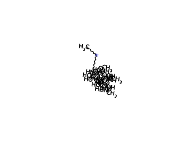 CCCCCC/C=C\CCCCCCCC(=O)N[C@@H]1C(O[C@@H]2C(CO)OC(O[C@@H]3C(CO)OC(O[C@@H]4C(COS(=O)(=O)O)OC(O)[C@@H](NC(C)=O)[C@H]4O)[C@@H](NC(C)=O)[C@H]3O)[C@@H](NC(C)=O)[C@H]2O)OC(CO)[C@@H](O)[C@@H]1O